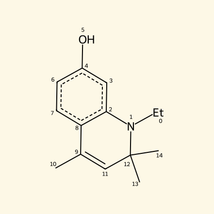 CCN1c2cc(O)ccc2C(C)=CC1(C)C